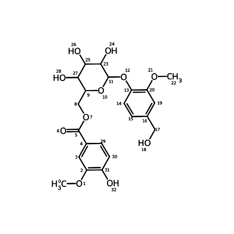 COc1cc(C(=O)OCC2OC(Oc3ccc(CO)cc3OC)C(O)C(O)C2O)ccc1O